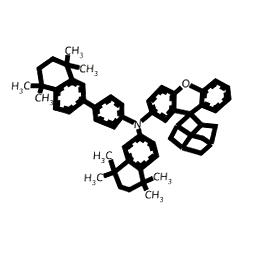 CC1(C)CCC(C)(C)c2cc(-c3ccc(N(c4ccc5c(c4)C(C)(C)CCC5(C)C)c4ccc5c(c4)C4(c6ccccc6O5)C5CC6CC7CC4C75C6)cc3)ccc21